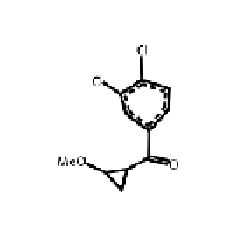 COC1CC1C(=O)c1ccc(Cl)c(Cl)c1